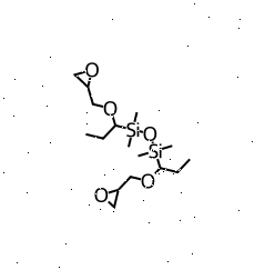 CCC(OCC1CO1)[Si](C)(C)O[Si](C)(C)C(CC)OCC1CO1